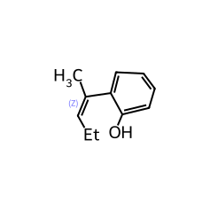 CC/C=C(/C)c1ccccc1O